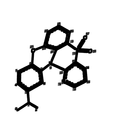 CC(C)c1ccc2c(c1)N1c3ncccc3S(=O)(=O)c3cccc(c31)O2